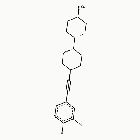 CCCC[C@H]1CC[C@H]([C@H]2CC[C@H](C#Cc3cnc(F)c(F)c3)CC2)CC1